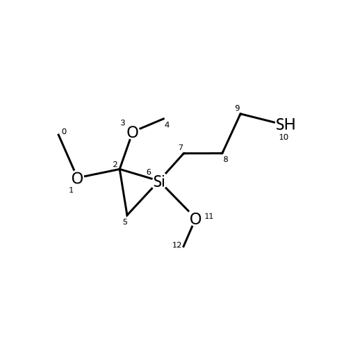 COC1(OC)C[Si]1(CCCS)OC